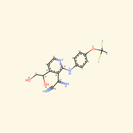 CC(F)(F)Oc1ccc(Nc2nccc(C(O)CO)c2C(=N)C#N)cc1